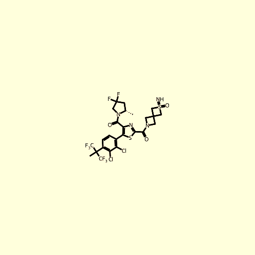 C[C@H]1CC(F)(F)CN1C(=O)c1nc(C(=O)N2CC3(C2)CS(=N)(=O)C3)sc1-c1ccc(C(C)(C(F)(F)F)C(F)(F)F)c(Cl)c1Cl